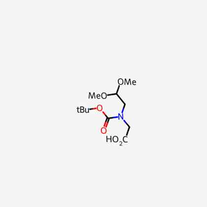 COC(CN(CC(=O)O)C(=O)OC(C)(C)C)OC